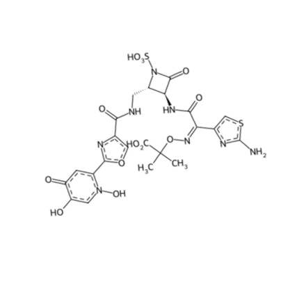 CC(C)(ON=C(C(=O)N[C@@H]1C(=O)N(S(=O)(=O)O)[C@H]1CNC(=O)c1coc(-c2cc(=O)c(O)cn2O)n1)c1csc(N)n1)C(=O)O